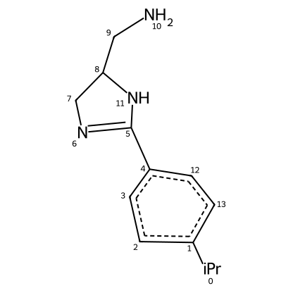 CC(C)c1ccc(C2=NCC(CN)N2)cc1